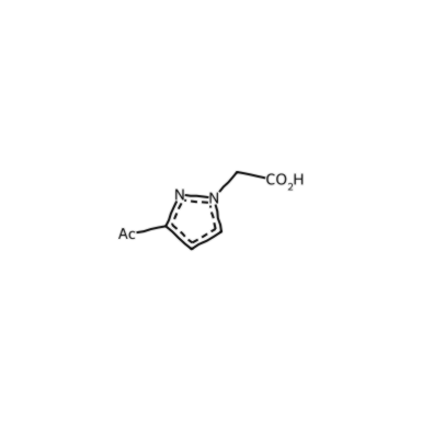 CC(=O)c1ccn(CC(=O)O)n1